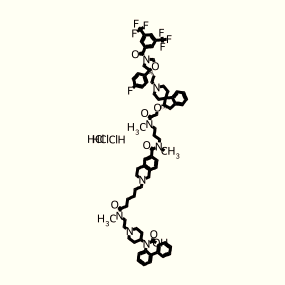 CN(CCN1CCC(N(C(=O)O)c2ccccc2-c2ccccc2)CC1)C(=O)CCCCCN1CCc2cc(C(=O)N(C)CCCN(C)C(=O)CO[C@H]3Cc4ccccc4C34CCN(CC[C@]3(c5ccc(F)cc5)CN(C(=O)c5cc(C(F)(F)F)cc(C(F)(F)F)c5)CO3)CC4)ccc2C1.Cl.Cl.Cl